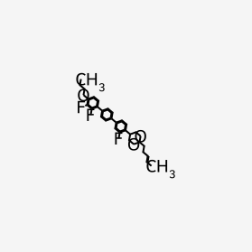 C/C=C/CCC1OCC(c2ccc(-c3ccc(-c4ccc(OCCC)c(F)c4F)cc3)cc2F)CO1